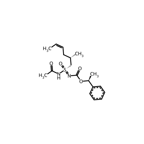 C/C=C\C[C@H](C)C[S@](=O)(=NC(=O)O[C@@H](C)c1ccccc1)NC(C)=O